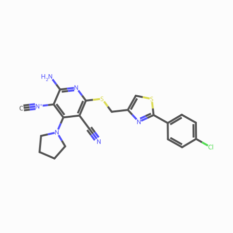 [C-]#[N+]c1c(N)nc(SCc2csc(-c3ccc(Cl)cc3)n2)c(C#N)c1N1CCCC1